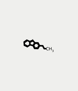 CCCc1ccc2c(c1)[C]=C1C=CC=CC12